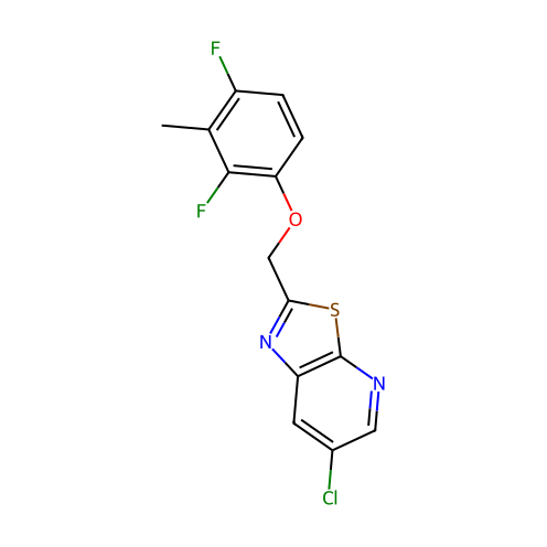 Cc1c(F)ccc(OCc2nc3cc(Cl)cnc3s2)c1F